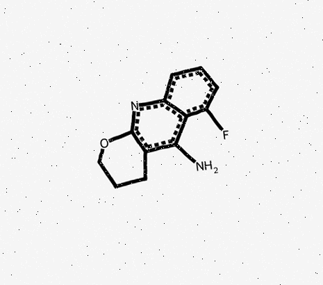 Nc1c2c(nc3cccc(F)c13)OCCC2